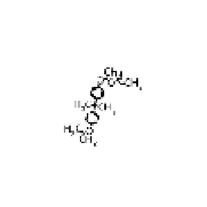 C=CC(=O)OC(C)Oc1ccc(C(C)(C)c2ccc(OC(C)C)cc2)cc1